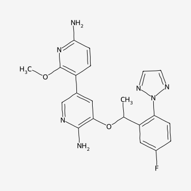 COc1nc(N)ccc1-c1cnc(N)c(OC(C)c2cc(F)ccc2-n2nccn2)c1